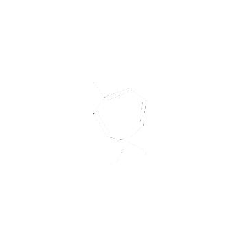 CCCS1(CC)C=CC=C(C)C=C1